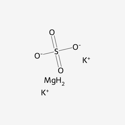 O=S(=O)([O-])[O-].[K+].[K+].[MgH2]